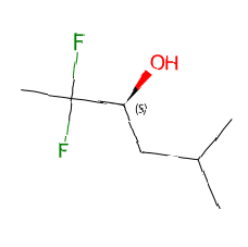 CC(C)C[C@H](O)C(C)(F)F